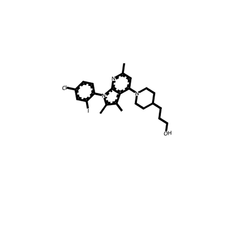 Cc1cc(N2CCC(CCCO)CC2)c2c(C)c(C)n(-c3ccc(Cl)cc3I)c2n1